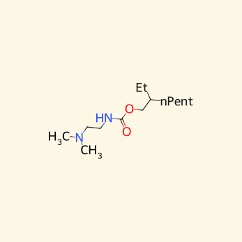 CCCCCC(CC)COC(=O)NCCN(C)C